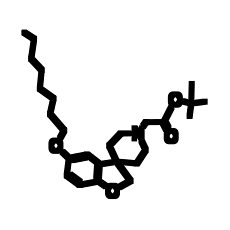 CCCCCCCCOc1ccc2c(c1)C1(CCN(CC(=O)OC(C)(C)C)CC1)CO2